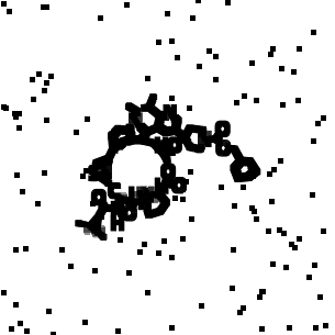 CCn1c(-c2cc(C3(O)CCN(C(=O)OCc4ccccc4)CC3)cnc2C(C)C)c2c3cc(ccc31)-c1csc(n1)C[C@H](NC(=O)C1[C@@H](C)[C@H]1C)C(=O)N1CCC[C@H](N1)C(=O)OCC(C)(C)C2